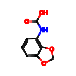 O=C(O)Nc1cccc2c1OCO2